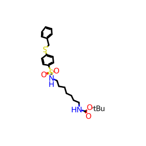 CC(C)(C)OC(=O)NCCCCCCCNS(=O)(=O)c1ccc(SCc2ccccc2)cc1